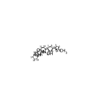 Cc1ccc(-c2ccc(-c3ccc(O[C@H]4CC5CCCC(N5)[C@H]4F)nn3)c(O)c2)s1